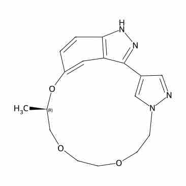 C[C@@H]1COCCOCCn2cc(cn2)-c2n[nH]c3ccc(cc23)O1